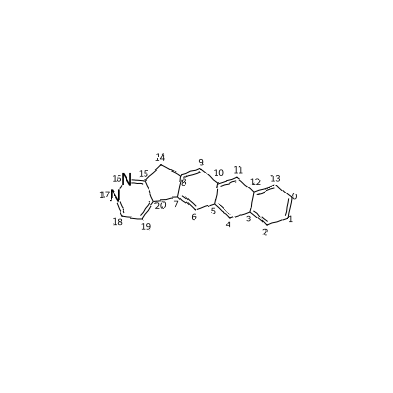 c1ccc2cc3cc4c(cc3cc2c1)Cc1nnccc1-4